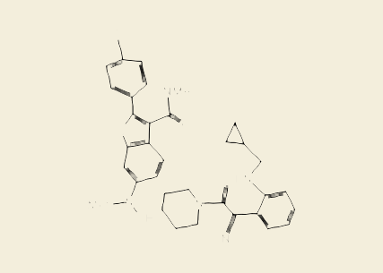 CNC(=O)c1c(-c2ccc(F)cc2)oc2cc(N(C)SC)c([C@H]3CCCN(C(=O)C(=N)c4ccccc4NCC4CC4)C3)cc12